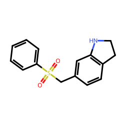 O=S(=O)(Cc1ccc2c(c1)NCC2)c1ccccc1